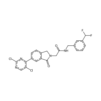 O=C(CN1Cc2ccc(-c3nc(Cl)ncc3Cl)cc2C1=O)NCc1cccc(C(F)F)c1